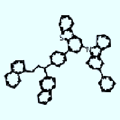 c1ccc(-c2ccc3c(c2)c2ccccc2n3-c2cc(-c3ccc(C(CCc4cccc5ccccc45)c4ccc5ccccc5c4)cc3)c3sc4ccccc4c3c2)cc1